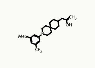 C=C(O)CC1CCC2(CC1)CCN(c1cc(SC)cc(C(F)(F)F)c1)CC2